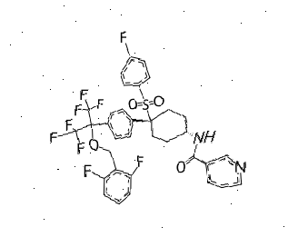 O=C(N[C@H]1CC[C@@](c2ccc(C(OCc3c(F)cccc3F)(C(F)(F)F)C(F)(F)F)cc2)(S(=O)(=O)c2ccc(F)cc2)CC1)c1cccnc1